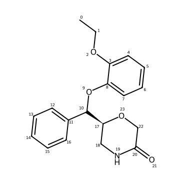 CCOc1ccccc1OC(c1ccccc1)[C@@H]1CNC(=O)CO1